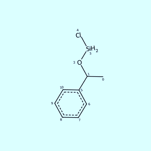 CC(O[SiH2]Cl)c1ccccc1